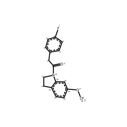 O=C(Cc1ccc(F)cc1)N1CCc2ccc(OC(F)(F)F)cc21